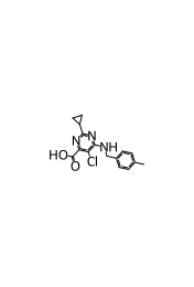 Cc1ccc(CNc2nc(C3CC3)nc(C(=O)O)c2Cl)cc1